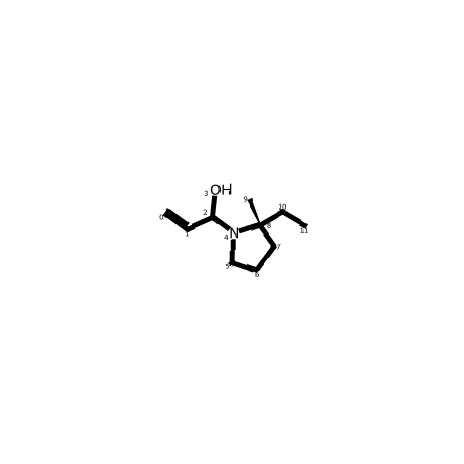 C=CC(O)N1CCC[C@@]1(C)CC